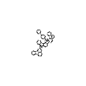 c1ccc(-c2ccc(-n3c4c(ccc5oc6ccccc6c54)c4ccc5c(c6ccccc6n5-c5cc6c7c(cccc7c5)-c5ccccc5-6)c43)cc2)cc1